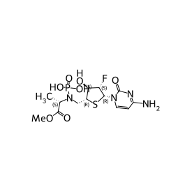 COC(=O)[C@H](C)N(C[C@H]1S[C@@H](n2ccc(N)nc2=O)[C@@H](F)[C@@H]1O)P(=O)(O)O